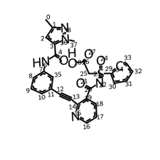 Cc1cc(C(=O)Nc2cccc(C#Cc3ncccc3C(=O)N=S(=O)(CC(=O)O)c3ccccc3)c2)n(C)n1